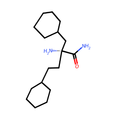 NC(=O)[C@@](N)(CCC1CCCCC1)CC1CCCCC1